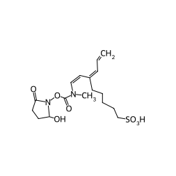 C=C/C=C(\C=C/N(C)C(=O)ON1C(=O)CCC1O)CCCCCS(=O)(=O)O